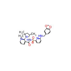 CC1CN(c2ncccc2C(=O)NS(=O)(=O)c2cccc(NCc3ccc4c(c3)OCO4)n2)C(C)(C)C1